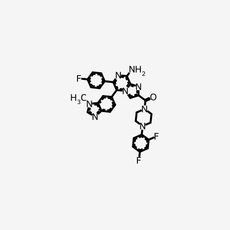 Cn1cnc2ccc(-c3c(-c4ccc(F)cc4)nc(N)c4nc(C(=O)N5CCN(c6ccc(F)cc6F)CC5)cn34)cc21